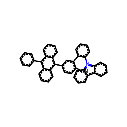 N#Cc1ccc(-c2c3ccccc3c(-c3ccccc3)c3ccccc23)cc1-c1ccccc1-n1c2ccccc2c2ccccc21